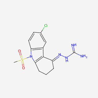 CS(=O)(=O)n1c2c(c3cc(Cl)ccc31)C(=NNC(=N)N)CCC2